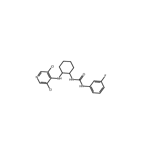 O=C(Nc1cccc(F)c1)NC1CCCCC1Nc1c(Cl)cncc1Cl